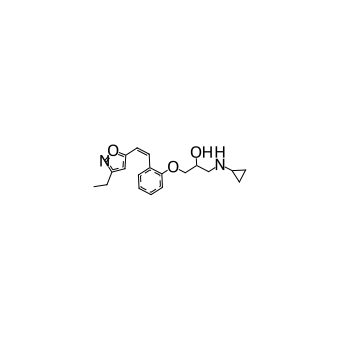 CCc1cc(/C=C\c2ccccc2OCC(O)CNC2CC2)on1